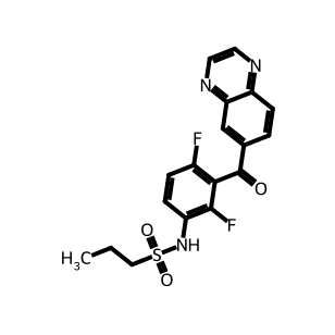 CCCS(=O)(=O)Nc1ccc(F)c(C(=O)c2ccc3nccnc3c2)c1F